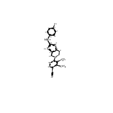 Cc1c(C#N)nnc(N2CCc3nc(Nc4ccc(F)cc4)sc3C2)c1C